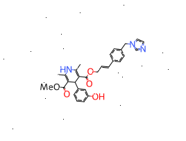 COC(=O)C1=C(C)NC(C)=C(C(=O)OCC=Cc2ccc(Cn3ccnc3)cc2)C1c1cccc(O)c1